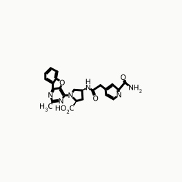 Cc1nc(N2C[C@@H](NC(=O)Cc3ccnc(C(N)=O)c3)C[C@H]2C(=O)O)c2oc3ccccc3c2n1